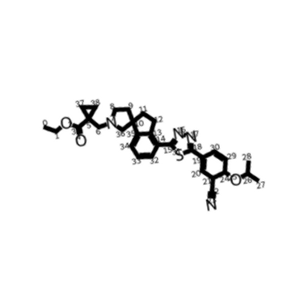 CCOC(=O)C1(CN2CCC3(CCc4c(-c5nnc(C6=CC(C#N)C(OC(C)C)C=C6)s5)cccc43)C2)CC1